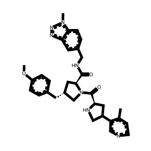 COc1ccc(C[C@@H]2C[C@@H](C(=O)NCc3ccc4c(c3)nnn4C)N(C(=O)[C@H]3CC(c4cnccc4C)CN3)C2)cc1